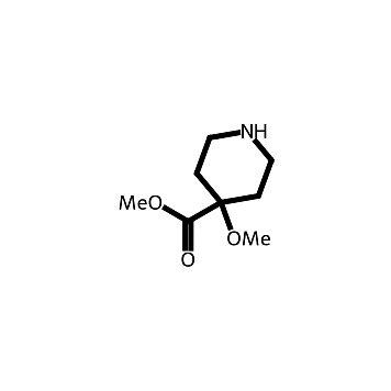 COC(=O)C1(OC)CCNCC1